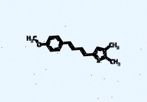 COc1ccc(/C=C/C=C/c2cc(C)c(C)s2)cc1